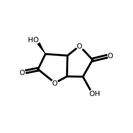 O=C1OC2C(OC(=O)[C@H]2O)C1O